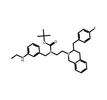 CCNc1cccc(CN(CCN2Cc3ccccc3CC2Cc2ccc(F)cc2)C(=O)OC(C)(C)C)c1